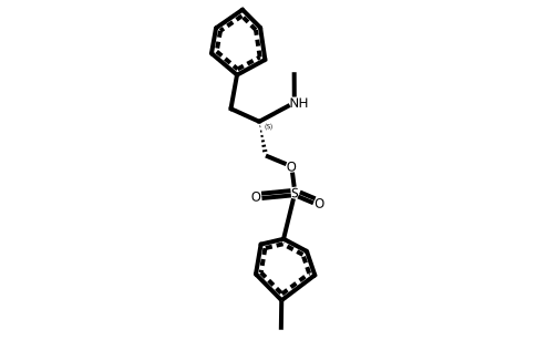 CN[C@H](COS(=O)(=O)c1ccc(C)cc1)Cc1ccccc1